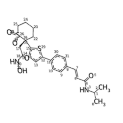 CC(C)NC(=O)C=Cc1ccc(-c2ccc([C@@]3(CC(=O)NO)CCCCS3(=O)=O)s2)cc1